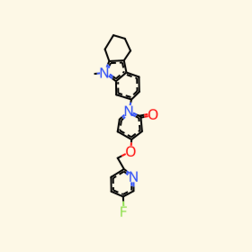 Cn1c2c(c3ccc(-n4ccc(OCc5ccc(F)cn5)cc4=O)cc31)CCCC2